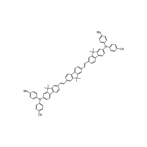 CC(C)(C)c1ccc(N(c2ccc(C#N)cc2)c2ccc3c(c2)C(C)(C)c2cc(/C=C/c4ccc5c(c4)C(C)(C)c4cc(/C=C/c6ccc7c(c6)C(C)(C)c6cc(N(c8ccc(C#N)cc8)c8ccc(C(C)(C)C)cc8)ccc6-7)ccc4-5)ccc2-3)cc1